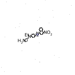 CCN(CCON)c1ccc(/N=N/c2ccc([N+](=O)[O-])c3ccccc23)cc1